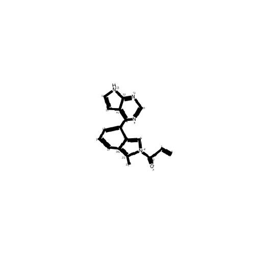 C=CC(=O)n1cc2c(-c3ncnc4[nH]ccc34)cccc2c1C